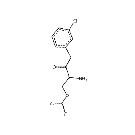 N[C](COC(F)F)C(=O)Cc1cccc(Cl)c1